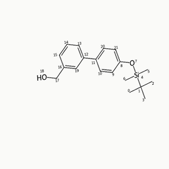 CC(C)(C)[Si](C)(C)Oc1ccc(-c2cccc(CO)c2)cc1